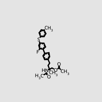 CC(=O)NC(C)(CCc1ccc(-c2ccc(Sc3ccc(C)cc3)cc2F)cc1)COC(C)=O